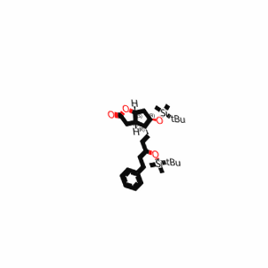 CC(C)(C)[Si](C)(C)OC(CCc1ccccc1)CC[C@@H]1[C@H]2CC(=O)O[C@H]2C[C@H]1O[Si](C)(C)C(C)(C)C